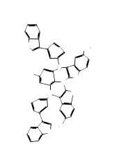 CC(C)c1cc2c3c(c1)N(c1cccc(-c4csc5ccccc45)c1)c1c(oc4ccc(C(C)(C)C)cc14)B3c1oc3ccc(C(C)(C)C)cc3c1N2c1cccc(-c2csc3ccccc23)c1